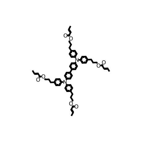 C/C=C/C(=O)OCCCc1ccc(N(c2ccc(CCCOC(=O)/C=C/C)cc2)c2ccc(-c3ccc(N(c4ccc(CCCOC(=O)/C=C/C)cc4)c4ccc(CCCOC(=O)/C=C/C)cc4)cc3)cc2)cc1